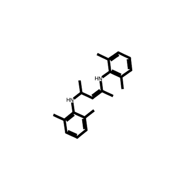 CC(=CC(C)Nc1c(C)cccc1C)Nc1c(C)cccc1C